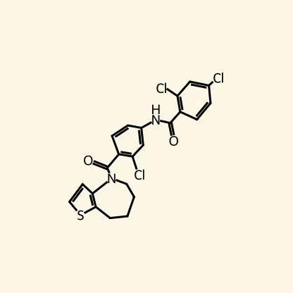 O=C(Nc1ccc(C(=O)N2CCCCc3sccc32)c(Cl)c1)c1ccc(Cl)cc1Cl